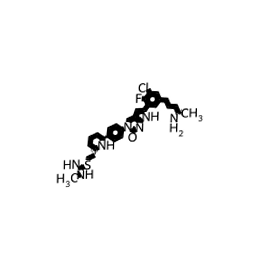 CNC(=N)SCC[C@@H]1CCC[C@@H](c2ccc(-n3cc4cc(-c5cc(CCC[C@H](C)N)cc(Cl)c5F)[nH]c4nc3=O)cc2)N1